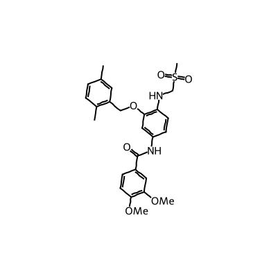 COc1ccc(C(=O)Nc2ccc(NCS(C)(=O)=O)c(OCc3cc(C)ccc3C)c2)cc1OC